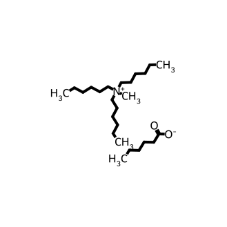 CCCCCC(=O)[O-].CCCCCC[N+](C)(CCCCCC)CCCCCC